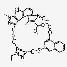 CCn1nc2cc1CSCc1nn(C)c(C)c1-c1c(Cl)ccc3c1c(C)c(C(=O)OC)n3CCCOc1cc(cc3ccccc13)SC2